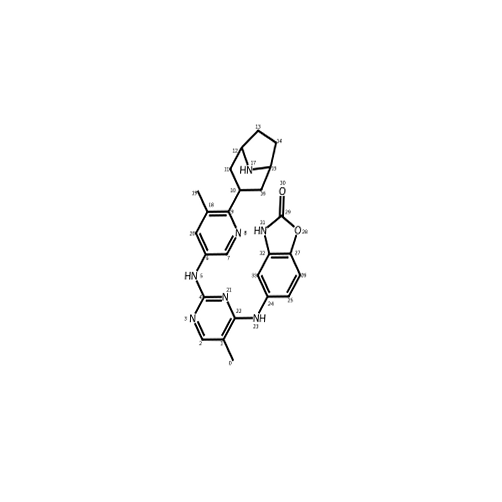 Cc1cnc(Nc2cnc(C3CC4CCC(C3)N4)c(C)c2)nc1Nc1ccc2oc(=O)[nH]c2c1